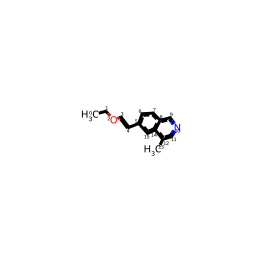 CCO/C=C/c1ccc2cncc(C)c2c1